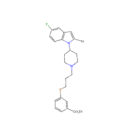 CCOC(=O)c1cccc(SCCCN2CCC(n3c(CC)cc4cc(F)ccc43)CC2)c1